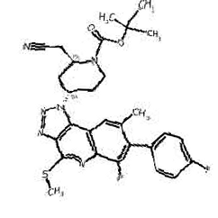 CSc1nc2c(F)c(-c3ccc(F)cc3)c(C)cc2c2c1nnn2[C@H]1CCN(C(=O)OC(C)(C)C)[C@H](CC#N)C1